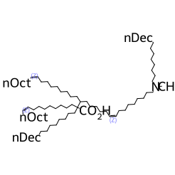 CCCCCCCC/C=C\CCCCCCCCC(CCCCC/C=C\CCCCCCCCN(C)CCCCCCCCCCCCCCCCCC)C(CCCCCCCC/C=C\CCCCCCCC)(CCCCCCCCCCCCCCCCCC)C(=O)O